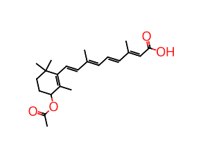 CC(=O)OC1CCC(C)(C)C(/C=C/C(C)=C/C=C/C(C)=C/C(=O)O)=C1C